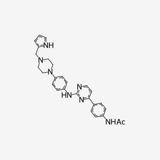 CC(=O)Nc1ccc(-c2ccnc(Nc3ccc(N4CCN(Cc5ccc[nH]5)CC4)cc3)n2)cc1